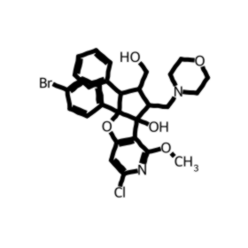 COc1nc(Cl)cc2c1C1(O)C(CN3CCOCC3)C(CO)C(c3ccccc3)C1(c1ccc(Br)cc1)O2